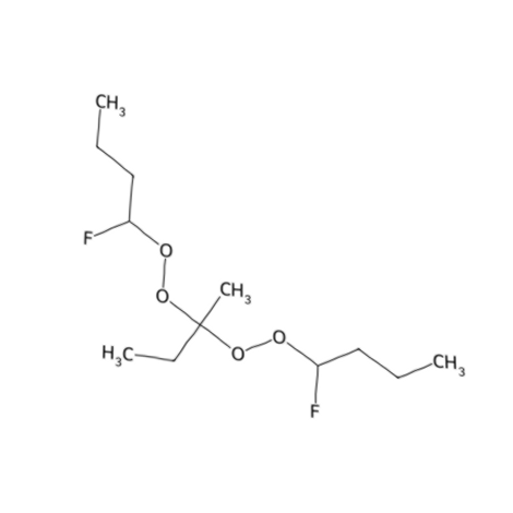 CCCC(F)OOC(C)(CC)OOC(F)CCC